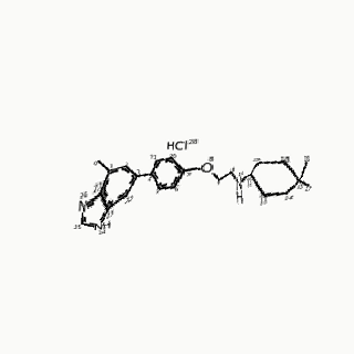 Cc1cc(-c2ccc(OCCNC3CCC(C)(C)CC3)cc2)cc2[nH]cnc12.Cl